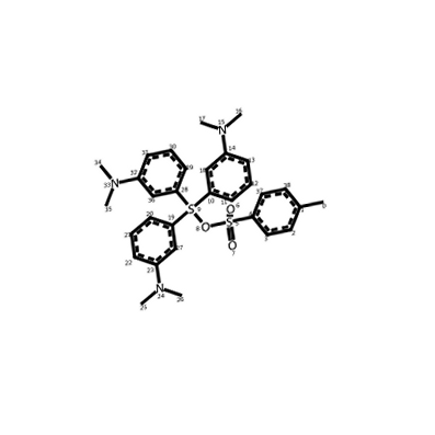 Cc1ccc(S(=O)(=O)OS(c2cccc(N(C)C)c2)(c2cccc(N(C)C)c2)c2cccc(N(C)C)c2)cc1